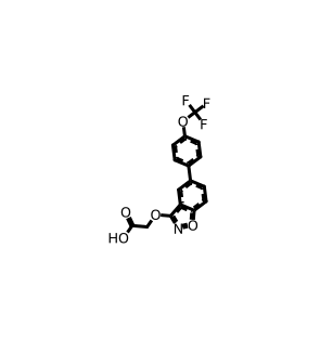 O=C(O)COc1noc2ccc(-c3ccc(OC(F)(F)F)cc3)cc12